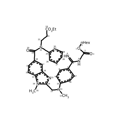 CCCCCCOC(=O)NC(=N)c1ccc(N(C)Cc2nc3cc(C(=O)N(CCC(=O)OCC)c4ccccn4)ccc3n2C)cc1